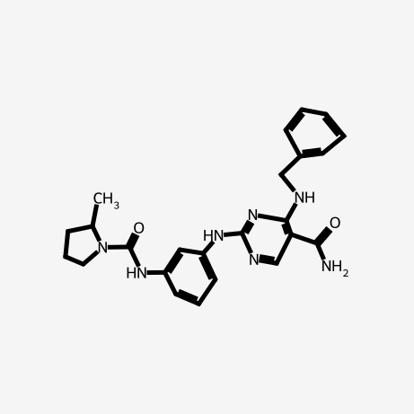 CC1CCCN1C(=O)Nc1cccc(Nc2ncc(C(N)=O)c(NCc3ccccc3)n2)c1